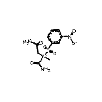 C[N+](CC(N)=O)(C(N)=O)S(=O)(=O)c1cccc([N+](=O)[O-])c1